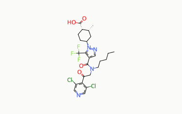 CCCCCN(CC(=O)c1c(Cl)cncc1Cl)C(=O)c1cnn([C@H]2CC[C@H](C(=O)O)[C@H](C)C2)c1C(F)(F)F